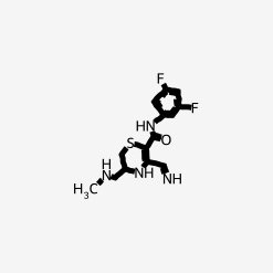 CNCC1CSC(C(=O)Nc2cc(F)cc(F)c2)=C(C=N)N1